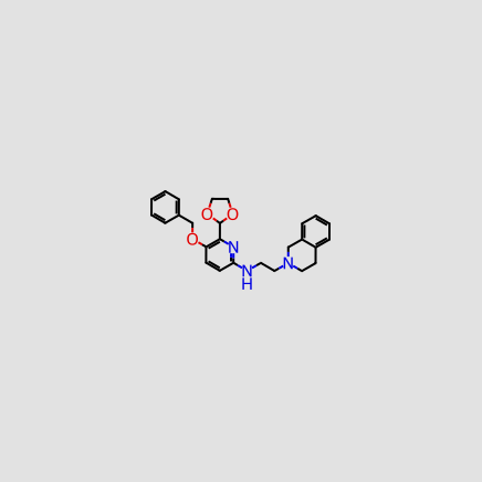 c1ccc(COc2ccc(NCCN3CCc4ccccc4C3)nc2C2OCCO2)cc1